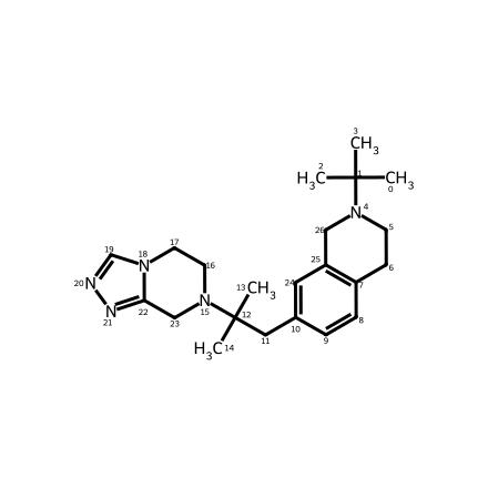 CC(C)(C)N1CCc2ccc(CC(C)(C)N3CCn4cnnc4C3)cc2C1